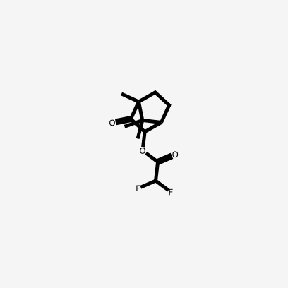 CC12CCC(C(OC(=O)C(F)F)C1=O)C2(C)C